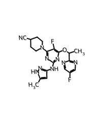 Cc1cc(Nc2nc(OC(C)c3ncc(F)cn3)c(F)c(N3CCC(C#N)CC3)n2)n[nH]1